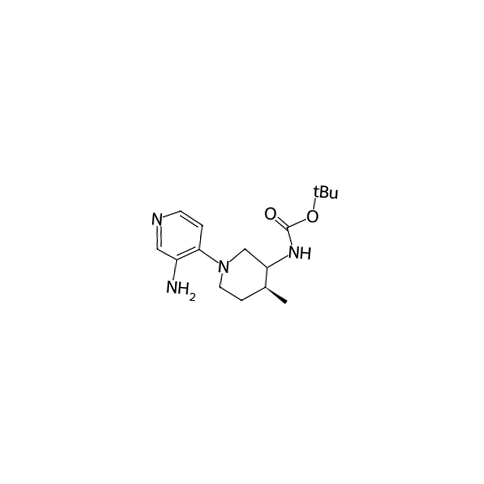 C[C@H]1CCN(c2ccncc2N)CC1NC(=O)OC(C)(C)C